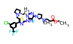 CCOC(=O)CCN(C)[C@H]1CCN(c2ncnc(Nc3nc(-c4cc(Cl)cc(C(F)(F)F)c4)c(CN4CCC[C@H]4CC)s3)c2F)C1